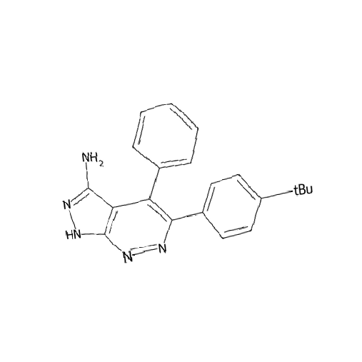 CC(C)(C)c1ccc(-c2nnc3[nH]nc(N)c3c2-c2ccccc2)cc1